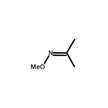 [CH2]C(C)=NOC